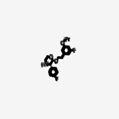 CC(C)Oc1cc(F)cc(CCO[C@@H]2OCCN[C@H]2c2ccc(F)cc2)c1